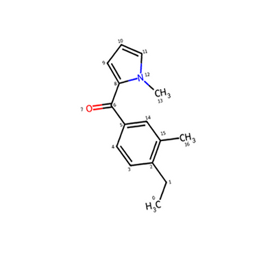 CCc1ccc(C(=O)c2cccn2C)cc1C